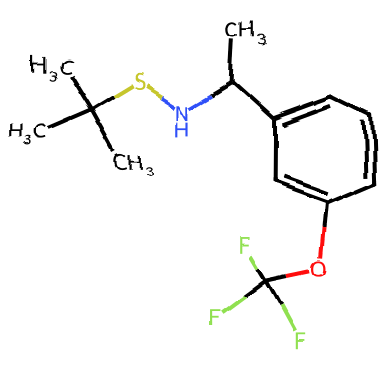 CC(NSC(C)(C)C)c1cccc(OC(F)(F)F)c1